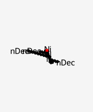 CCCCCCCCCCCCCCCCCCCCCC/C=C/C(/C=N/c1cccc(CCCCCCCCCCCCC)c1)=N\c1cccc(CCCCCCCCCCCCC)c1.[Ni]